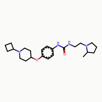 CC1CCCN1CCNC(=O)Nc1ccc(OC2CCN(C3CCC3)CC2)cc1